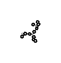 c1ccc(-n2c3cc(-c4ccc(N(c5ccc(-c6ccc7oc8ccccc8c7c6)cc5)c5ccc6c(ccc7ccccc76)c5)cc4)ccc3c3ccc4ccccc4c32)cc1